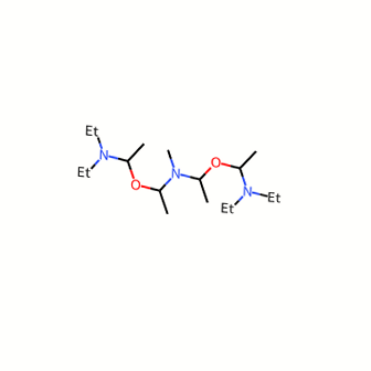 CCN(CC)C(C)OC(C)N(C)C(C)OC(C)N(CC)CC